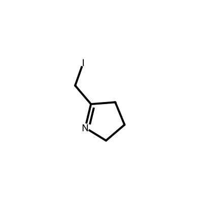 ICC1=NCCC1